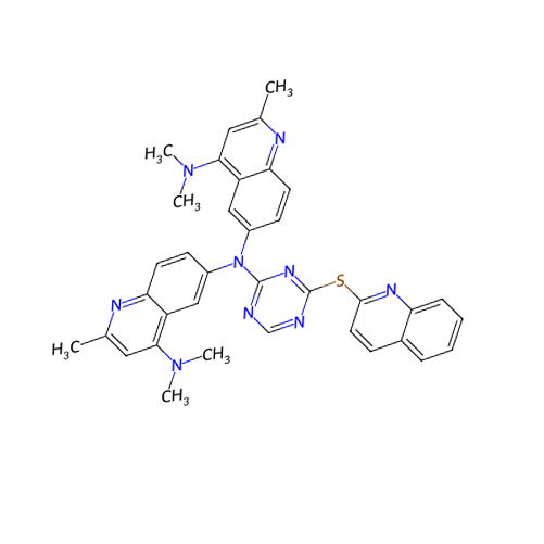 Cc1cc(N(C)C)c2cc(N(c3ccc4nc(C)cc(N(C)C)c4c3)c3ncnc(Sc4ccc5ccccc5n4)n3)ccc2n1